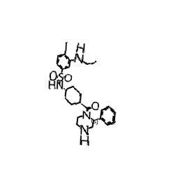 CCNc1cc(S(=O)(=O)N[C@H]2CC[C@H](C(=O)N3CCNC[C@@H]3c3ccccc3)CC2)ccc1I